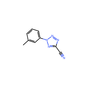 Cc1cccc(-n2nnc(C#N)n2)c1